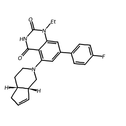 CCn1c(=O)[nH]c(=O)c2c(N3CC[C@H]4CC=C[C@H]4C3)cc(-c3ccc(F)cc3)cc21